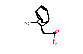 CC1C2C=CC(C2)C1CC(=O)O